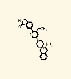 C=Cc1nc(N2CCC3(CC2)Cc2cccnc2C[C@H]3N)cnc1-c1ccc2c(c1)C(=O)NC2